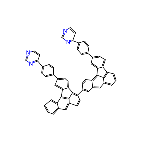 c1ccc2c3c4c(c(-c5ccc6c7c8c(cccc8cc6c5)-c5ccc(-c6ccc(-c8ccncn8)cc6)cc5-7)ccc4cc2c1)-c1ccc(-c2ccc(-c4ccncn4)cc2)cc1-3